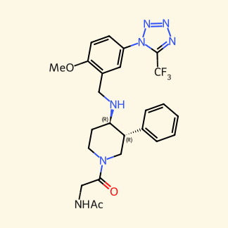 COc1ccc(-n2nnnc2C(F)(F)F)cc1CN[C@@H]1CCN(C(=O)CNC(C)=O)C[C@H]1c1ccccc1